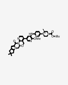 CCCCOC(=O)N1CCN(c2ccc(Nc3cc(-c4ccnc(N5CCn6c(cc7c6CC(C)(C)C7)C5=O)c4CO)cnc3OC)nc2)[C@@H](C)C1